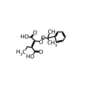 CCC(C(=O)O)=C(OOC(C)(C)c1ccccc1)C(=O)O